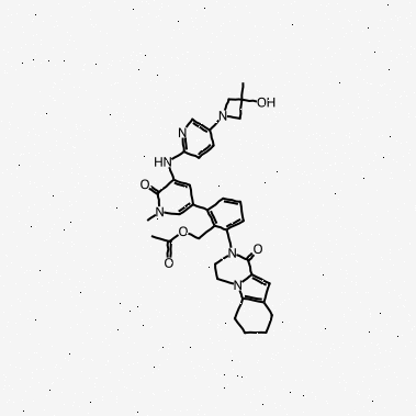 CC(=O)OCc1c(-c2cc(Nc3ccc(N4CC(C)(O)C4)cn3)c(=O)n(C)c2)cccc1N1CCn2c(cc3c2CCCC3)C1=O